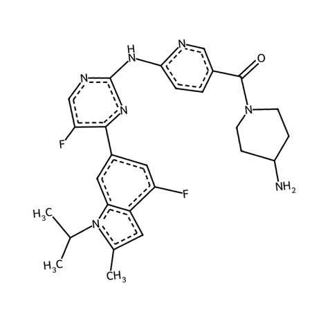 Cc1cc2c(F)cc(-c3nc(Nc4ccc(C(=O)N5CCC(N)CC5)cn4)ncc3F)cc2n1C(C)C